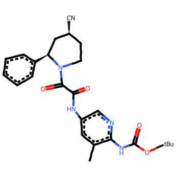 Cc1cc(NC(=O)C(=O)N2CC[C@H](C#N)C[C@@H]2c2ccccc2)cnc1NC(=O)OC(C)(C)C